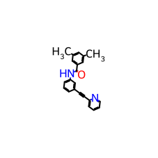 Cc1cc(C)cc(C(=O)Nc2cccc(C#Cc3ccccn3)c2)c1